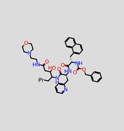 CC(C)CC(NC(=O)[C@H](Cc1ccccn1)NC(=O)[C@H](Cc1cccc2ccccc12)NC(=O)OCc1ccccc1)C(O)CC(=O)NCCN1CCOCC1